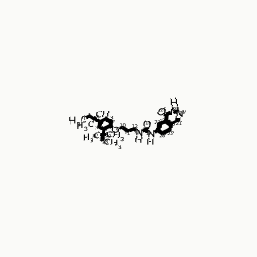 CCC(C)(C)c1ccc(OCCCNC(=O)Nc2ccc3cn[nH]c(=O)c3c2)c(C(C)(C)CC)c1